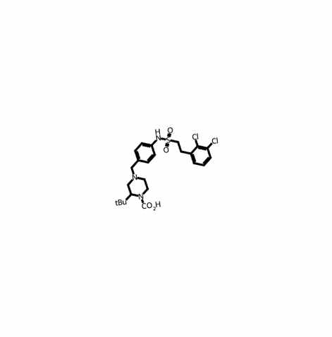 CC(C)(C)C1CN(Cc2ccc(NS(=O)(=O)CCc3cccc(Cl)c3Cl)cc2)CCN1C(=O)O